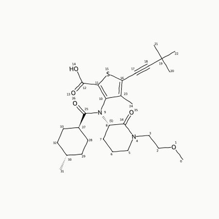 COCCN1CCC[C@H](N(c2c(C(=O)O)sc(C#CC(C)(C)C)c2C)C(=O)[C@H]2CC[C@H](C)CC2)C1=O